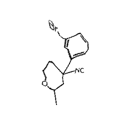 [C-]#[N+]C1(c2cccc(Br)c2)CCOC(C)C1